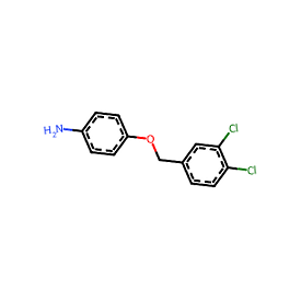 Nc1ccc(OCc2ccc(Cl)c(Cl)c2)cc1